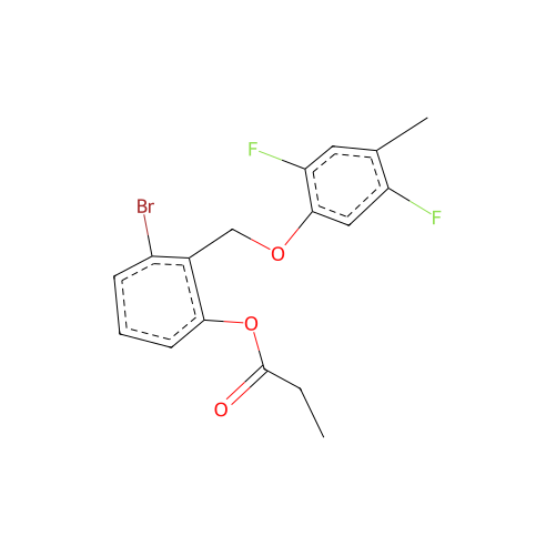 CCC(=O)Oc1cccc(Br)c1COc1cc(F)c(C)cc1F